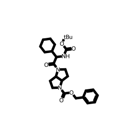 CC(C)(C)OC(=O)NC(C(=O)N1CCC2C1CCN2C(=O)OCc1ccccc1)C1CCCCC1